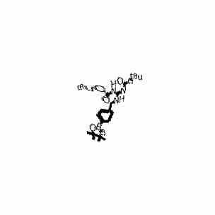 CC(C)(C)OC(=O)/N=C(/NCc1ccc(B2OC(C)(C)C(C)(C)O2)cc1)NC(=O)OC(C)(C)C